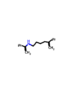 C=C(CCCCNC(=C)C(C)C)C(C)C